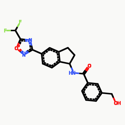 O=C(NC1CCc2cc(-c3noc(C(F)F)n3)ccc21)c1cccc(CO)c1